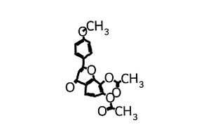 COc1ccc(-c2cc(=O)c3ccc(OC(C)=O)c(OC(C)=O)c3o2)cc1